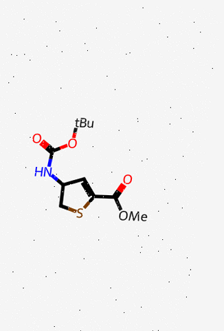 COC(=O)C1=CC(NC(=O)OC(C)(C)C)CS1